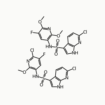 COc1nc(Cl)c(F)cc1NS(=O)(=O)c1c[nH]c2nc(Cl)ccc12.COc1nc(OC)c(NS(=O)(=O)c2c[nH]c3nc(Cl)ccc23)cc1F